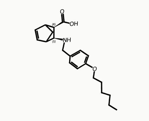 CCCCCCOc1ccc(CN[C@H]2C3C=CC(C3)[C@H]2C(=O)O)cc1